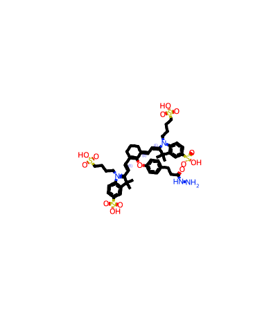 CC1(C)C(/C=C/C2=C(Oc3ccc(CCC(=O)NN)cc3)C(=C/C=C3/N(CCCCS(=O)(=O)O)c4ccc(S(=O)(=O)O)cc4C3(C)C)/CCC2)=[N+](CCCCS(=O)(=O)O)c2ccc(S(=O)(=O)O)cc21